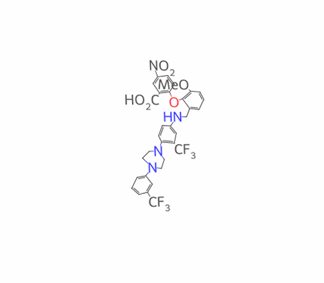 COc1cccc(CNc2ccc(N3CCN(c4cccc(C(F)(F)F)c4)CC3)c(C(F)(F)F)c2)c1Oc1ccc([N+](=O)[O-])cc1C(=O)O